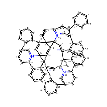 C1=C2c3ccccc3-c3ccc4[n+](c3)C13C1=C5C26c2ccccc2-c2cc(-c7ccccc7)c7c[n+]2C56/C=C(/c2ccccc2-7)C25CC26/C=C(/c2ccccc2-c2ccc([n+]6c2)-c2ccccc25)C13c1ccccc1-4